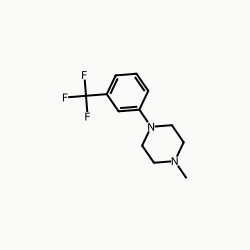 CN1CCN(c2cccc(C(F)(F)F)c2)CC1